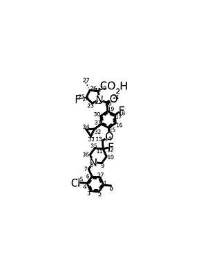 Cc1ccc(Cl)c(CN2CCC(F)(COc3cc(F)c(C(=O)N4C[C@H](F)[C@H](C)[C@H]4C(=O)O)cc3C3CC3)CC2)c1